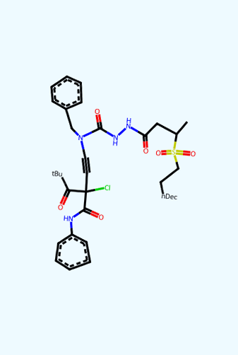 CCCCCCCCCCCCS(=O)(=O)C(C)CC(=O)NNC(=O)N(C#CC(Cl)(C(=O)Nc1ccccc1)C(=O)C(C)(C)C)Cc1ccccc1